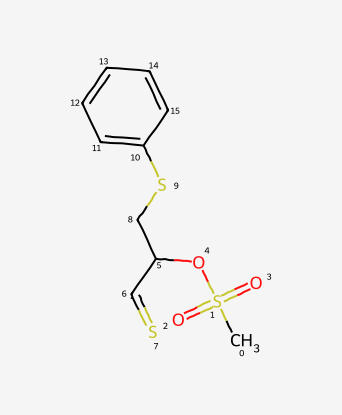 CS(=O)(=O)OC([C]=S)CSc1ccccc1